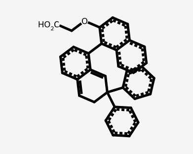 O=C(O)COc1ccc2ccccc2c1-c1cccc2c1=CC(c1ccccc1)(c1ccccc1)CC=2